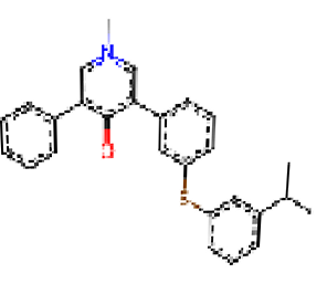 CC(C)c1cccc(Sc2cccc(-c3cn(C)cc(-c4ccccc4)c3=O)c2)c1